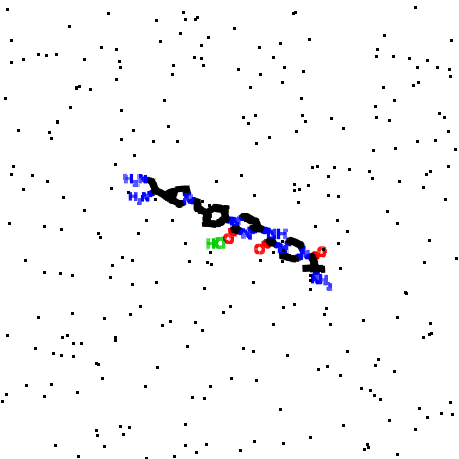 CC(C)(N)C(=O)N1CCN(C(=O)Nc2ccn(-c3ccc(CCN4CC5C(C4)C5C(N)CN)cc3)c(=O)n2)CC1.Cl